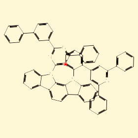 c1ccc(-c2cccc(-c3nc(-c4ccccc4)nc(-n4c5ccccc5c5ccc6c7ccccc7n(-c7ccccc7-c7cc(-c8ccccc8)nc(-c8ccccc8)c7)c6c54)n3)c2)cc1